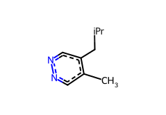 Cc1cnncc1CC(C)C